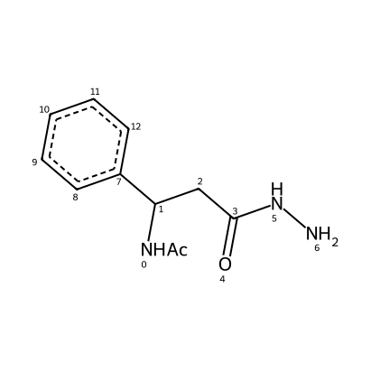 CC(=O)NC(CC(=O)NN)c1ccccc1